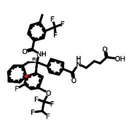 Cc1ccc(C(=O)N[C@](Cc2ccccc2)(c2ccc(C(=O)NCCCC(=O)O)cc2)c2cc(F)cc(OC(F)(F)C(F)F)c2)cc1C(F)(F)F